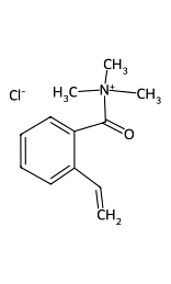 C=Cc1ccccc1C(=O)[N+](C)(C)C.[Cl-]